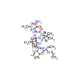 C=C/C(=N\C=C/C)C(=O)N[C@H](C(=O)N[C@H](C(=O)N1C[C@H]2[C@@H]([C@H]1C(=O)NC(CCC)C(=O)C(N)=O)C2(C)C)C(C)(C)C)C1C=CC=CC1